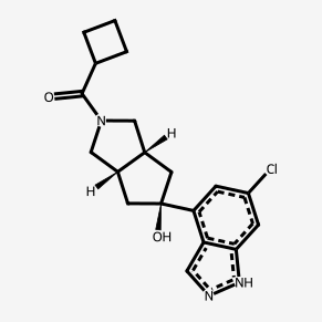 O=C(C1CCC1)N1C[C@@H]2C[C@](O)(c3cc(Cl)cc4[nH]ncc34)C[C@@H]2C1